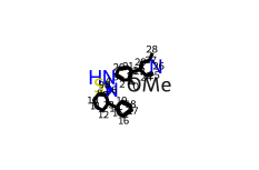 COc1cc(Nc2nc3c(s2)CCCC3c2ccccc2)ccc1-c1ccnc(C)c1